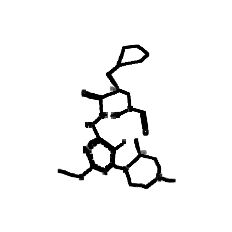 CSc1nc(NNC(=O)[C@@H](CC2CCCC2)CN(O)C=O)c(F)c(N2CCN(C)C[C@@H]2C)n1